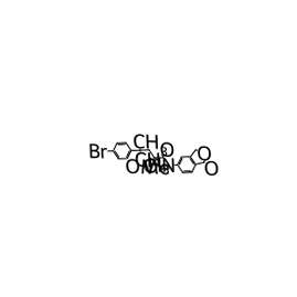 COc1cc(Br)ccc1C(C)(C)CC(=O)C(=O)Nc1ccc2c(c1)COC2=O